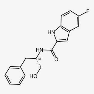 O=C(N[C@H](CO)Cc1ccccc1)c1cc2cc(F)ccc2[nH]1